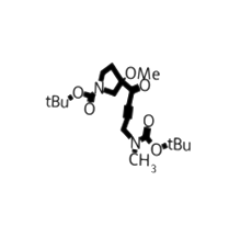 CO[C@@]1(C(=O)C#CCN(C)C(=O)OC(C)(C)C)CCN(C(=O)OC(C)(C)C)C1